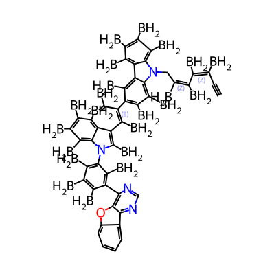 BC(=C)/C(=C(/B)c1c(B)n(-c2c(B)c(B)c(B)c(-c3ncnc4c3oc3ccccc34)c2B)c2c(B)c(B)c(B)c(B)c12)c1c(B)c(B)c2c(c1B)c1c(B)c(B)c(B)c(B)c1n2C/C(B)=C(B)\C(B)=C(\B)C#C